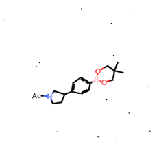 CC(=O)N1CCC(c2ccc(B3OCC(C)(C)CO3)cc2)C1